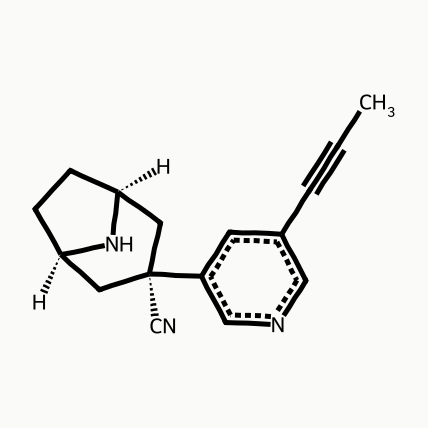 CC#Cc1cncc([C@@]2(C#N)C[C@H]3CC[C@@H](C2)N3)c1